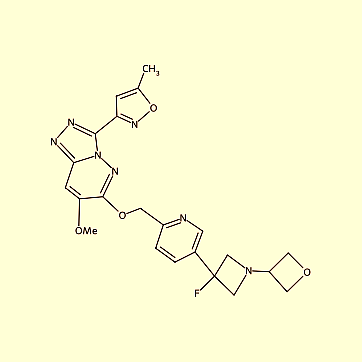 COc1cc2nnc(-c3cc(C)on3)n2nc1OCc1ccc(C2(F)CN(C3COC3)C2)cn1